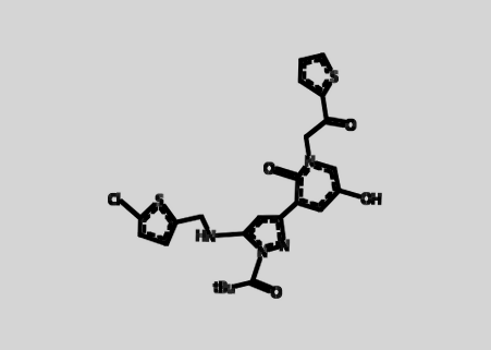 CC(C)(C)C(=O)n1nc(-c2cc(O)cn(CC(=O)c3cccs3)c2=O)cc1NCc1ccc(Cl)s1